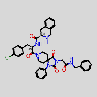 O=C(CN1C(=O)N(c2ccccc2)C2(CCN(C(=O)[C@@H](Cc3ccc(Cl)cc3)NC(=O)[C@H]3Cc4ccccc4CN3)CC2)C1=O)NCc1ccccc1